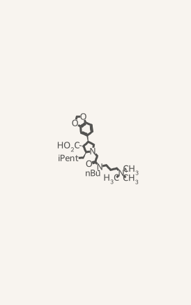 CCCCN(CCC[N+](C)(C)C)C(=O)CN1C[C@H](c2ccc3c(c2)OCO3)[C@@H](C(=O)O)[C@@H]1CC(C)CCC